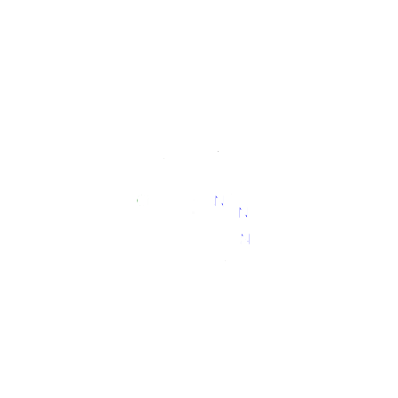 Clc1ccccc1.c1cnnnc1